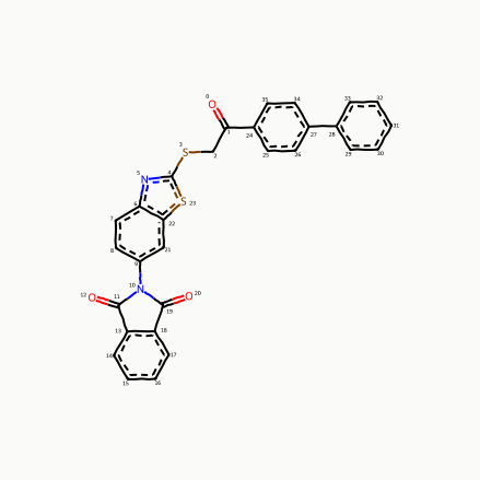 O=C(CSc1nc2ccc(N3C(=O)c4ccccc4C3=O)cc2s1)c1ccc(-c2ccccc2)cc1